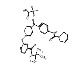 CC(C)(C)NC(=O)c1cccc(CN2CCN(C(=O)c3ccc(NC(=O)N4CCCCC4)cc3)CC2)c1.O=C(O)C(F)(F)F